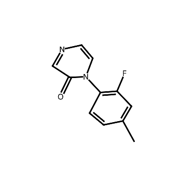 Cc1ccc(-n2ccncc2=O)c(F)c1